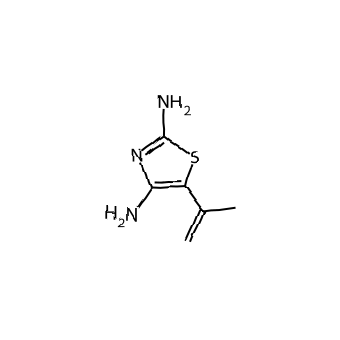 C=C(C)c1sc(N)nc1N